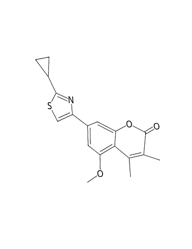 COc1cc(-c2csc(C3CC3)n2)cc2oc(=O)c(C)c(C)c12